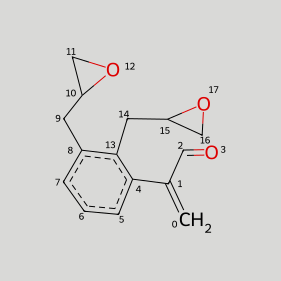 C=C(C=O)c1cccc(CC2CO2)c1CC1CO1